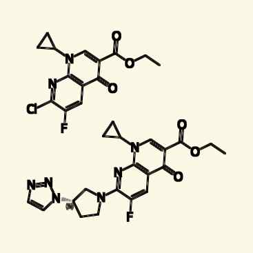 CCOC(=O)c1cn(C2CC2)c2nc(Cl)c(F)cc2c1=O.CCOC(=O)c1cn(C2CC2)c2nc(N3CC[C@H](n4ccnn4)C3)c(F)cc2c1=O